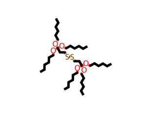 CCCCCCOC(CCSSCCC(OCCCCCC)(OCCCCCC)OCCCCCC)(OCCCCCC)OCCCCCC